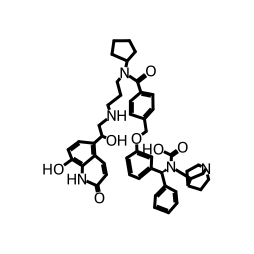 O=C(c1ccc(COc2cccc([C@H](c3ccccc3)N(C(=O)O)C3CN4CCC3CC4)c2)cc1)N(CCCNCC(O)c1ccc(O)c2[nH]c(=O)ccc12)C1CCCC1